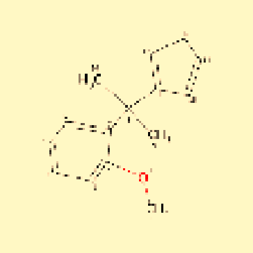 COc1ccccc1C(C)(C)C1=CCC=C1